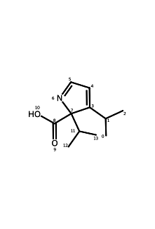 CC(C)C1=CC=NC1(C(=O)O)C(C)C